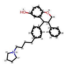 Oc1ccc2c(c1)C(c1ccc(CCCCN3CCCC3)cc1)C(c1ccccc1)CO2